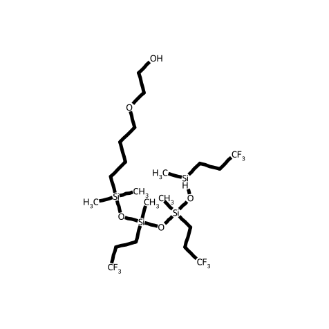 C[SiH](CCC(F)(F)F)O[Si](C)(CCC(F)(F)F)O[Si](C)(CCC(F)(F)F)O[Si](C)(C)CCCCOCCO